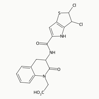 O=C(O)CN1C(=O)C(NC(=O)c2cc3c([nH]2)C(Cl)C(Cl)S3)Cc2ccccc21